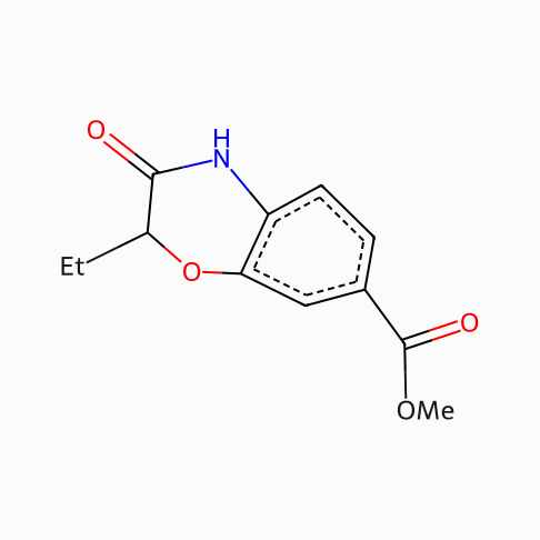 CCC1Oc2cc(C(=O)OC)ccc2NC1=O